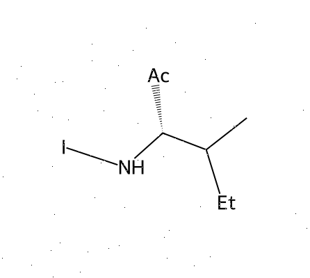 CCC(C)[C@H](NI)C(C)=O